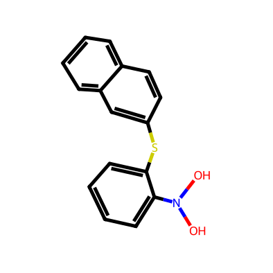 ON(O)c1ccccc1Sc1ccc2ccccc2c1